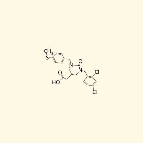 CSc1ccc(CN2CC(CC(=O)O)CN(Cc3ccc(Cl)cc3Cl)C2=O)cc1